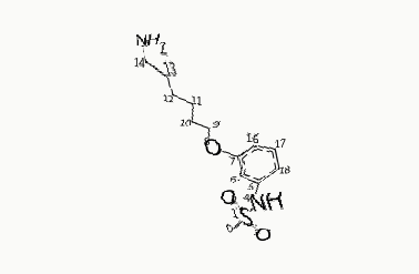 CS(=O)(=O)Nc1[c]c(OCCCCCCN)ccc1